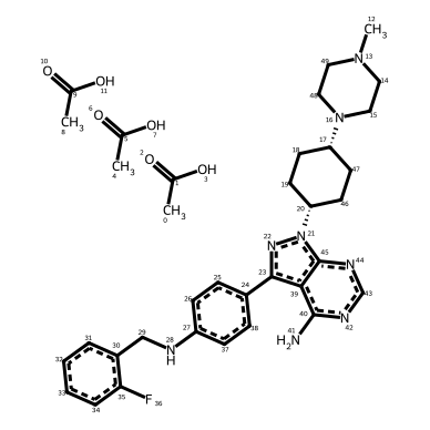 CC(=O)O.CC(=O)O.CC(=O)O.CN1CCN([C@H]2CC[C@@H](n3nc(-c4ccc(NCc5ccccc5F)cc4)c4c(N)ncnc43)CC2)CC1